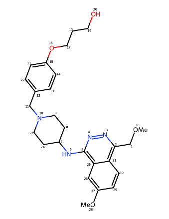 COCc1nnc(NC2CCN(Cc3ccc(OCCCO)cc3)CC2)c2cc(OC)ccc12